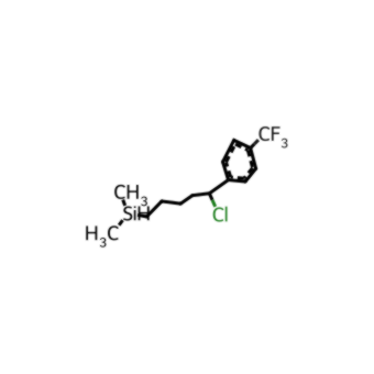 C[SiH](C)CCCCC(Cl)c1ccc(C(F)(F)F)cc1